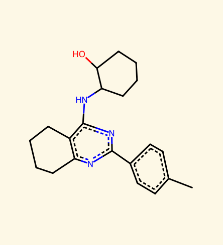 Cc1ccc(-c2nc3c(c(NC4CCCCC4O)n2)CCCC3)cc1